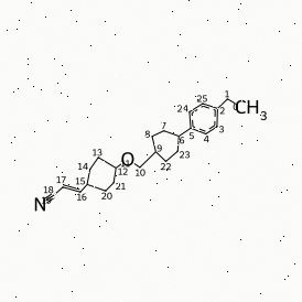 CCc1ccc(C2CCC(COC3CCC(C=CC#N)CC3)CC2)cc1